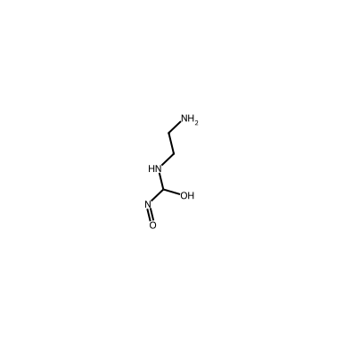 NCCNC(O)N=O